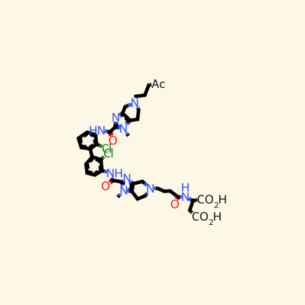 CC(=O)CCCN1CCc2c(nc(C(=O)Nc3cccc(-c4cccc(NC(=O)c5nc6c(n5C)CCN(CCCC(=O)NC(CC(=O)O)C(=O)O)C6)c4Cl)c3Cl)n2C)C1